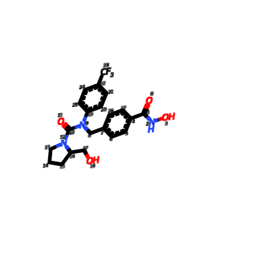 O=C(NO)c1ccc(CN(C(=O)N2CCCC2CO)c2ccc(C(F)(F)F)cc2)cc1